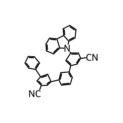 N#Cc1cc(-c2ccccc2)cc(-c2cccc(-c3cc(C#N)cc(-n4c5ccccc5c5ccccc54)c3)c2)c1